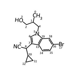 CC(CO)Cn1cc(C(C#N)C2CC2)c2ccc(Br)cc21